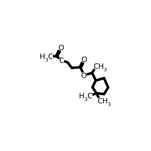 CC(=O)CCCC(=O)OC(C)C1CCCC(C)(C)C1